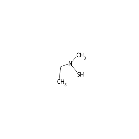 CCN(C)S